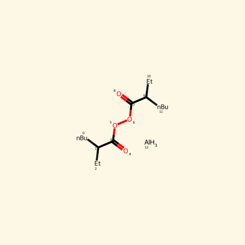 CCCCC(CC)C(=O)OOC(=O)C(CC)CCCC.[AlH3]